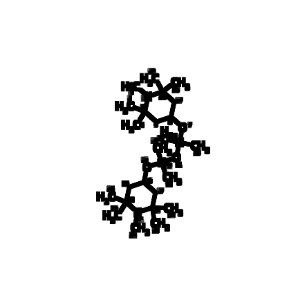 CN1C(C)(C)CC(O[Si](C)(C)O[Si](C)(C)OC2CC(C)(C)N(C)C(C)(C)C2)CC1(C)C